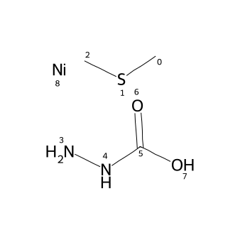 CSC.NNC(=O)O.[Ni]